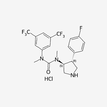 CN(C(=O)N(C)[C@@H]1CNC[C@H]1c1ccc(F)cc1)c1cc(C(F)(F)F)cc(C(F)(F)F)c1.Cl